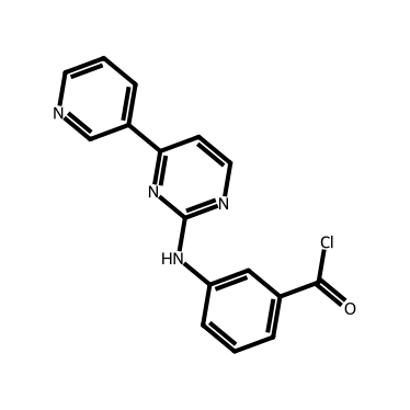 O=C(Cl)c1cccc(Nc2nccc(-c3cccnc3)n2)c1